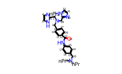 CCCC(c1ncc[nH]1)N(Cc1ccc(C(=O)Nc2ccc(CN(CCC)CCC)cc2)cc1)Cc1ncc[nH]1